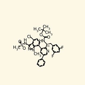 Cn1nc(NS(C)(=O)=O)c2c(Cl)ccc(-c3cc(-c4ccccc4)cnc3[C@H](Cc3cc(F)cc(F)c3)NC(=O)OC(C)(C)C)c21